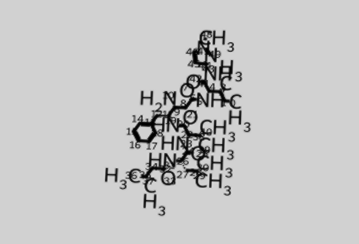 CC[C@H](C)[C@H](NC(=O)C[C@H](N)[C@H](Cc1ccccc1)NC(=O)C(NC(=O)[C@H](CC(C)C)NC(=O)CC(C)C)C(C)C)C(=O)Nc1ccn(C)n1